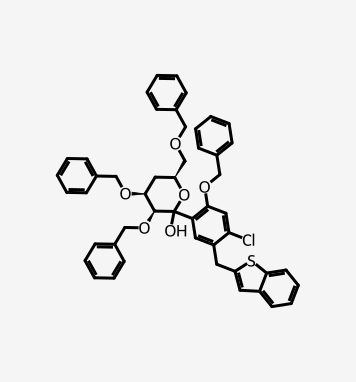 OC1(c2cc(Cc3cc4ccccc4s3)c(Cl)cc2OCc2ccccc2)O[C@H](COCc2ccccc2)C[C@H](OCc2ccccc2)[C@@H]1OCc1ccccc1